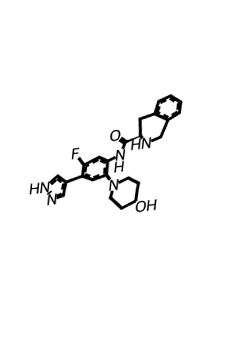 O=C(Nc1cc(F)c(-c2cn[nH]c2)cc1N1CCC(O)CC1)[C@H]1Cc2ccccc2CN1